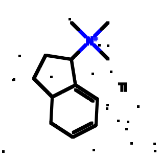 C[N+](C)(C)C1CCC2CC=CC=C21.[Ti]